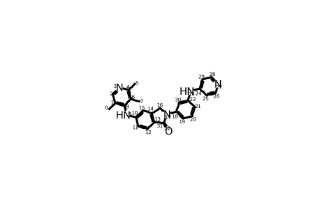 Cc1cnc(C)c(C)c1Nc1ccc2c(c1)CN(c1cccc(Nc3ccncc3)c1)C2=O